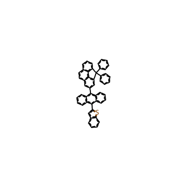 c1ccc(C2(c3ccccc3)c3cccc4ccc5cc(-c6c7ccccc7c(-c7cc8ccccc8s7)c7ccccc67)cc2c5c34)cc1